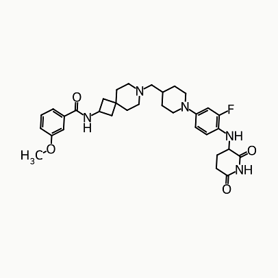 COc1cccc(C(=O)NC2CC3(CCN(CC4CCN(c5ccc(NC6CCC(=O)NC6=O)c(F)c5)CC4)CC3)C2)c1